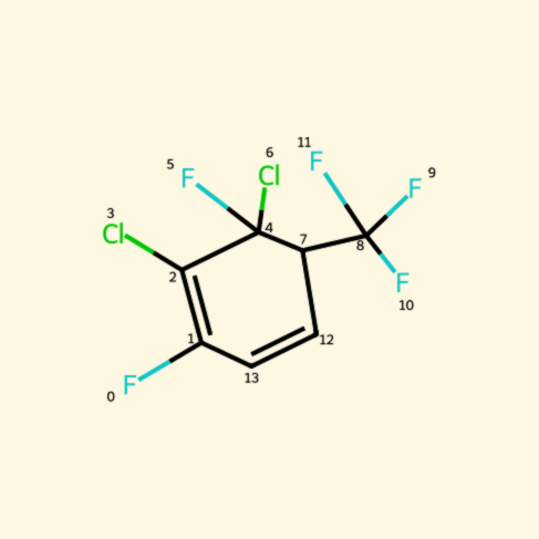 FC1=C(Cl)C(F)(Cl)C(C(F)(F)F)C=C1